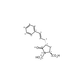 O=C(O)[C@@H]1C[C@@H](CC=Cc2ccccc2)C(=O)N1C(=O)O